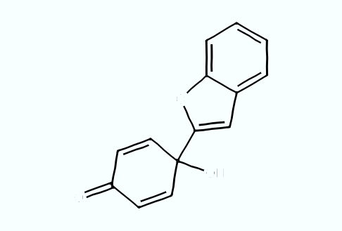 O=C1C=CC(O)(c2cc3ccccc3o2)C=C1